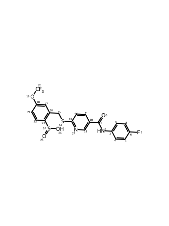 O=C(Nc1ccc(F)cc1)c1ccc(SCc2cc(OC(F)(F)F)ccc2S(=O)O)nc1